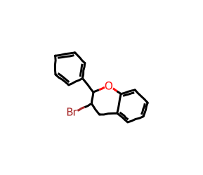 BrC1Cc2ccccc2OC1c1ccccc1